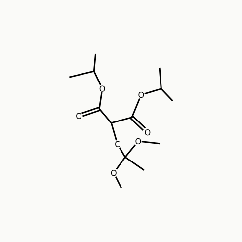 COC(C)(CC(C(=O)OC(C)C)C(=O)OC(C)C)OC